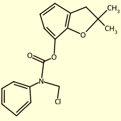 CC1(C)Cc2cccc(OC(=O)N(CCl)c3ccccc3)c2O1